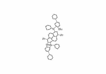 CC(C)c1cc(N(c2ccccc2)c2cc(-c3ccccc3)ccc2C(C)(C)C)c2ccc3c(C(C)C)cc(N(c4ccccc4)c4cc(-c5ccccc5)ccc4C(C)(C)C)c4ccc1c2c34